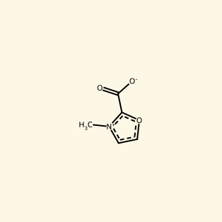 C[n+]1ccoc1C(=O)[O-]